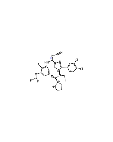 CCN(C(=O)[C@H]1CCCN1)[C@H]1CN(/C(=N\C#N)Nc2cccc(OC(F)F)c2F)N=C1c1ccc(Cl)c(Cl)c1